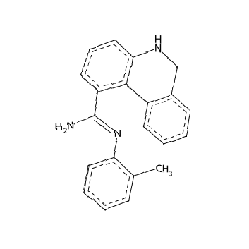 Cc1ccccc1N=C(N)c1cccc2c1-c1ccccc1CN2